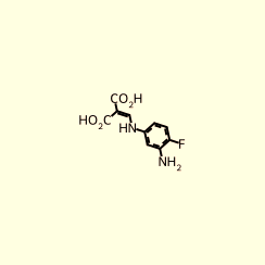 Nc1cc(NC=C(C(=O)O)C(=O)O)ccc1F